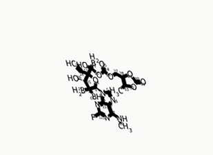 BC1(B)[C@H](n2cnc3c(NC)nc(F)nc32)OC(C#C)(C(B)(O)OC(=O)OCc2oc(=O)oc2C)[C@H]1O